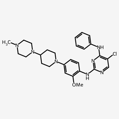 COc1cc(N2CCC(N3CCN(C)CC3)CC2)ccc1Nc1ncc(Cl)c(Nc2ccccc2)n1